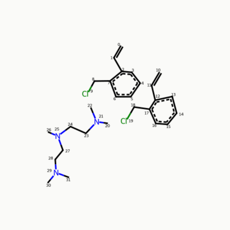 C=Cc1ccccc1CCl.C=Cc1ccccc1CCl.CN(C)CCN(C)CCN(C)C